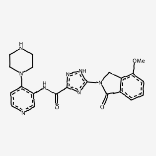 COc1cccc2c1CN(c1nc(C(=O)Nc3cnccc3N3CCNCC3)n[nH]1)C2=O